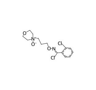 [O-][N+]1(CCCON=C(Cl)c2ccccc2Cl)CCOCC1